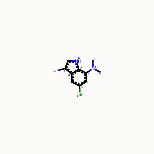 CN(C)c1cc(Br)cc2c(I)c[nH]c12